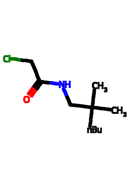 CCCCC(C)(C)CNC(=O)CCl